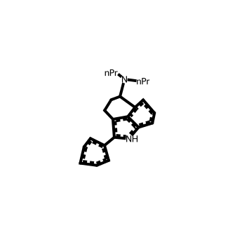 CCCN(CCC)C1CCc2c(-c3ccccc3)[nH]c3cccc1c23